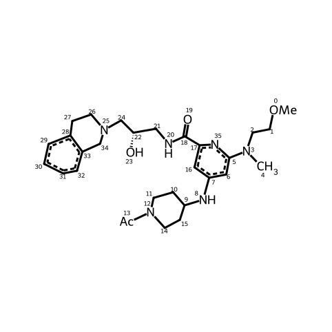 COCCN(C)c1cc(NC2CCN(C(C)=O)CC2)cc(C(=O)NC[C@H](O)CN2CCc3ccccc3C2)n1